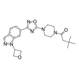 CC(C)(C)CC(=O)N1CCN(c2nc(-c3ccc4cnn(C5COC5)c4c3)no2)CC1